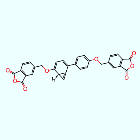 O=C1OC(=O)c2cc(COC3=CC=C(c4ccc(OCc5ccc6c(c5)C(=O)OC6=O)cc4)C4=C[C@H]34)ccc21